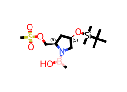 CB(O)N1C[C@@H](O[Si](C)(C)C(C)(C)C)C[C@@H]1COS(C)(=O)=O